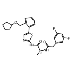 C[C@H](NC(=O)Cc1cc(F)cc(F)c1)C(=O)Nc1ncc(-c2ccccc2COC2CCCC2)s1